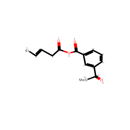 CCC=CCC(=O)OC(=O)c1cccc(C(=O)OC)c1